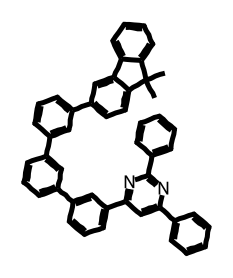 CC1(C)c2ccccc2-c2cc(-c3cccc(-c4cccc(-c5cccc(-c6cc(-c7ccccc7)nc(-c7ccccc7)n6)c5)c4)c3)ccc21